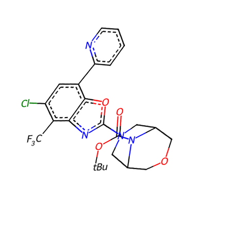 CC(C)(C)OC(=O)N1C2COCC1CN(c1nc3c(C(F)(F)F)c(Cl)cc(-c4ccccn4)c3o1)C2